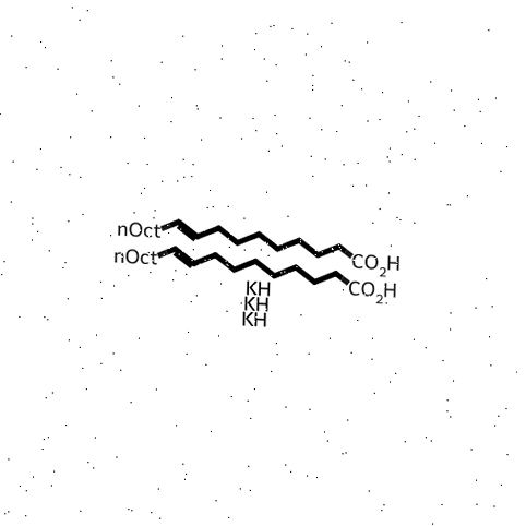 CCCCCCCCC=CCCCCCCCC(=O)O.CCCCCCCCC=CCCCCCCCC(=O)O.[KH].[KH].[KH]